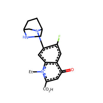 CCn1c(C(=O)O)cc(=O)c2cc(F)c(N3CC4CCC3CN4)cc21